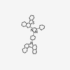 c1ccc(-c2cc(-c3cc4ccccc4c4c3sc3ccccc34)nc(-c3ccc(-n4c5ccc6ccccc6c5c5c6ccccc6ccc54)cc3)n2)cc1